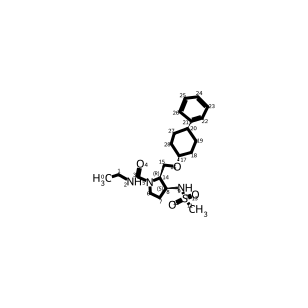 CCNC(=O)N1CC[C@H](NS(C)(=O)=O)[C@@H]1CO[C@H]1CC[C@@H](c2ccccc2)CC1